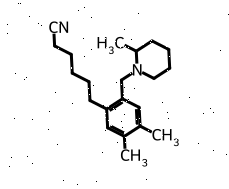 Cc1cc(CCCCCC#N)c(CN2CCCCC2C)cc1C